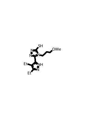 CCc1n[nH]c(-c2nnc(S)n2CCCOC)c1CC